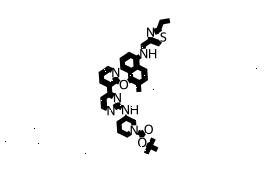 CCc1nc(CNc2cccc3c(Oc4ncccc4-c4ccnc(N[C@H]5CCCN(C(=O)OC(C)(C)C)C5)n4)c(C)ccc23)cs1